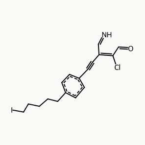 N=C/C(C#Cc1ccc(CCCCCI)cc1)=C(/Cl)C=O